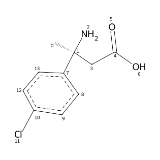 C[C@](N)(CC(=O)O)c1ccc(Cl)cc1